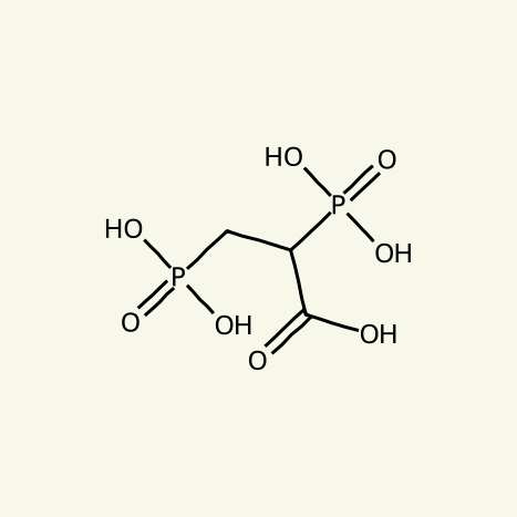 O=C(O)C(CP(=O)(O)O)P(=O)(O)O